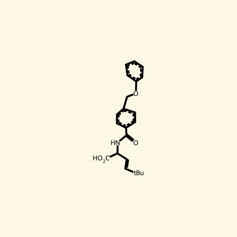 CC(C)(C)C=CC(NC(=O)c1ccc(COc2ccccc2)cc1)C(=O)O